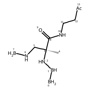 BBN[C@@](C)(CNB)C(=O)NCCC(C)=O